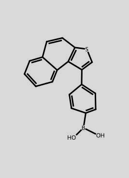 OB(O)c1ccc(-c2csc3ccc4ccccc4c23)cc1